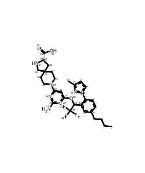 CCCCc1ccc(-n2ccc(C)n2)c(C(Oc2cc(N3CCC4(CC3)CN[C@H](C(=O)O)C4)nc(N)n2)C(F)(F)F)c1